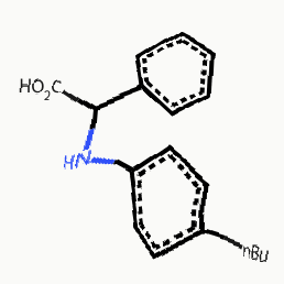 CCCCc1ccc(NC(C(=O)O)c2ccccc2)cc1